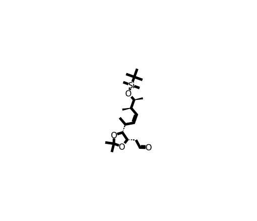 CC(/C=C\[C@@H](C)[C@H](C)O[Si](C)(C)C(C)(C)C)[C@H]1OC(C)(C)O[C@H]1CC=O